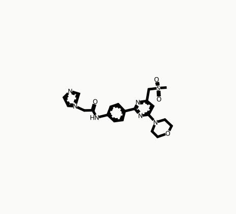 CS(=O)(=O)Cc1cc(N2CCOCC2)nc(-c2ccc(NC(=O)Cn3ccnc3)cc2)n1